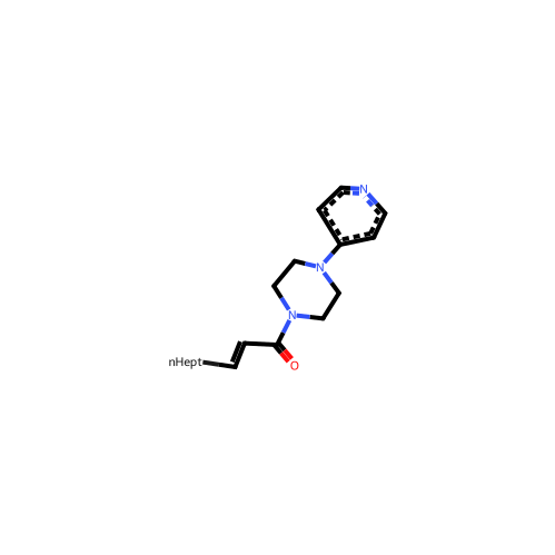 CCCCCCCC=CC(=O)N1CCN(c2ccncc2)CC1